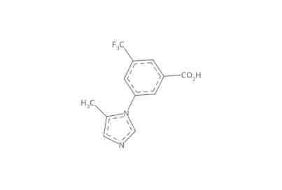 Cc1cncn1-c1cc(C(=O)O)cc(C(F)(F)F)c1